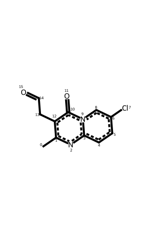 Cc1nc2ccc(Cl)cn2c(=O)c1CC=O